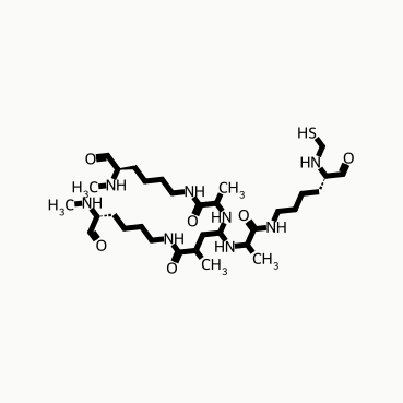 CN[C@@H](C=O)CCCCNC(=O)C(C)CC(NC(C)C(=O)NCCCC[C@@H](C=O)NCS)NC(C)C(=O)NCCCC[C@H](C=O)NC